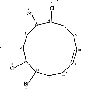 ClC1CCC(Br)C(Cl)CCC=CCCC1Br